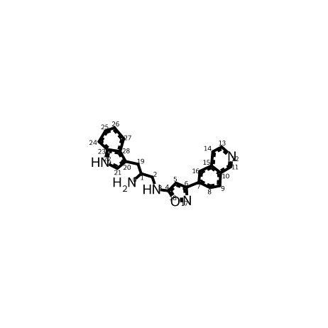 NC(CNc1cc(-c2ccc3cnccc3c2)no1)Cc1c[nH]c2ccccc12